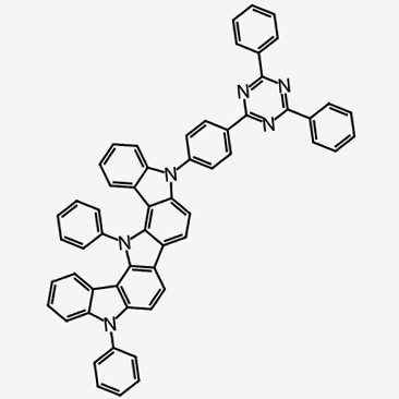 c1ccc(-c2nc(-c3ccccc3)nc(-c3ccc(-n4c5ccccc5c5c4ccc4c6ccc7c(c8ccccc8n7-c7ccccc7)c6n(-c6ccccc6)c45)cc3)n2)cc1